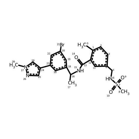 Cc1ccc(CNS(C)(=O)=O)cc1C(=O)NC(C)c1cc(Br)cc(-c2cnn(C)c2)c1